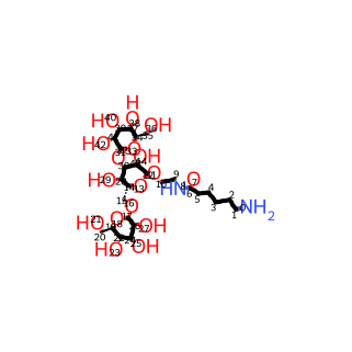 NCCCCCC(=O)NCCO[C@@H]1O[C@H](CO[C@H]2O[C@H](CO)[C@@H](O)[C@H](O)[C@@H]2O)[C@@H](O)[C@H](O[C@H]2O[C@H](CO)[C@@H](O)[C@H](O)[C@@H]2O)[C@@H]1O